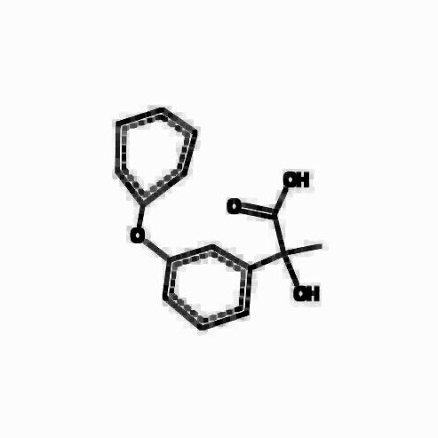 CC(O)(C(=O)O)c1cccc(Oc2ccccc2)c1